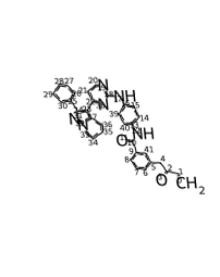 C=CC(=O)Cc1cccc(C(=O)Nc2ccc(Nc3nccc(-c4c(-c5ccccc5)nn5ccccc45)n3)cc2)c1